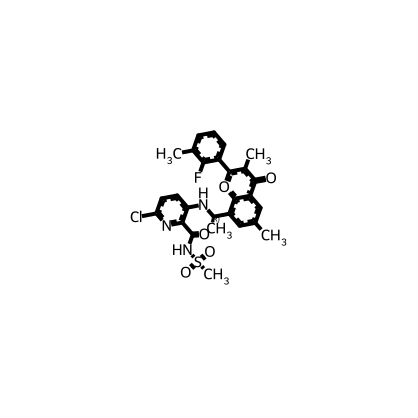 Cc1cc([C@@H](C)Nc2ccc(Cl)nc2C(=O)NS(C)(=O)=O)c2oc(-c3cccc(C)c3F)c(C)c(=O)c2c1